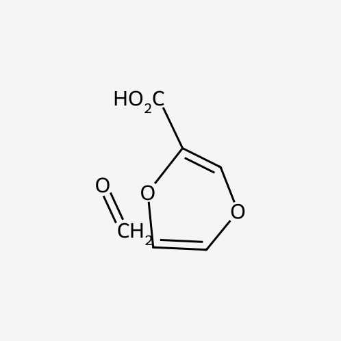 C=O.O=C(O)C1=COC=CO1